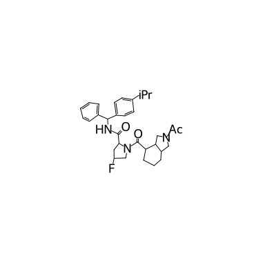 CC(=O)N1CC2CCCC(C(=O)N3CC(F)CC3C(=O)NC(c3ccccc3)c3ccc(C(C)C)cc3)C2C1